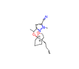 C=CCC[C@@]12CCC[C@]1(OC(C)c1cc(C#N)n(C)n1)OCC2